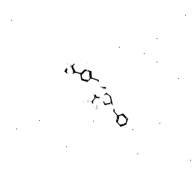 Cc1ncsc1-c1ccc(CNC(=O)[C@@H]2C[C@@H](OCc3ccccc3)CN2C(=O)[C@@H](N)C(C)(C)C)cc1